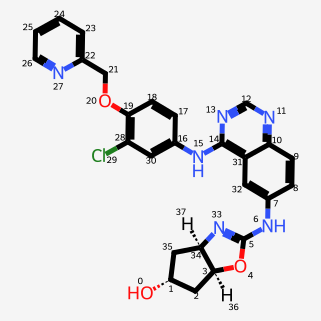 O[C@H]1C[C@@H]2OC(Nc3ccc4ncnc(Nc5ccc(OCc6ccccn6)c(Cl)c5)c4c3)=N[C@@H]2C1